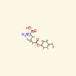 CCC1CCC(OC(=O)CC(C)C[C@H](N)C(=O)O)CC1